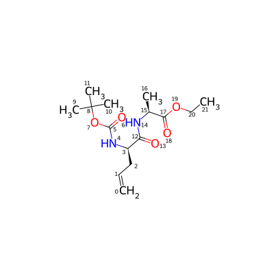 C=CC[C@@H](NC(=O)OC(C)(C)C)C(=O)N[C@@H](C)C(=O)OCC